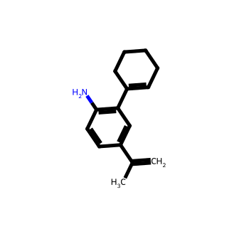 C=C(C)c1ccc(N)c(C2=CCCCC2)c1